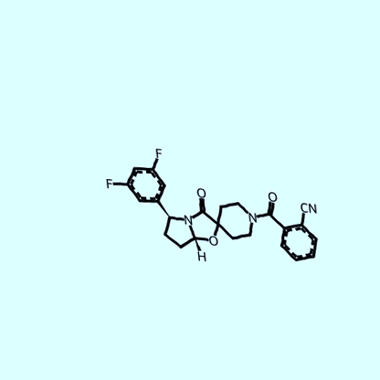 N#Cc1ccccc1C(=O)N1CCC2(CC1)O[C@@H]1CC[C@@H](c3cc(F)cc(F)c3)N1C2=O